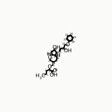 CCCC(OC[C@@H]1CC[C@@H]2[C@@H](C=C[C@@H](O)COc3ccccc3)[C@H](O)C[C@@H]2OC1)C(=O)O